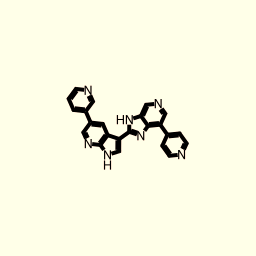 c1cncc(-c2cnc3[nH]cc(-c4nc5c(-c6ccncc6)cncc5[nH]4)c3c2)c1